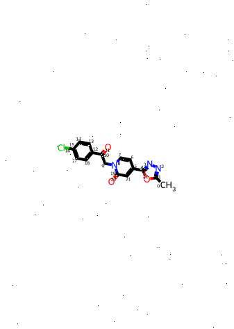 Cc1nnc(-c2ccn(CC(=O)c3ccc(Cl)cc3)c(=O)c2)o1